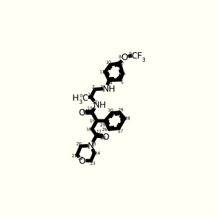 CC(CNc1ccc(OC(F)(F)F)cc1)NC(=O)C(CC(=O)N1CCOCC1)c1ccccc1